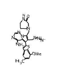 COc1cc(C)cc2cc(-c3c(CN=[N+]=[N-])c(CN4CCNC(=O)C4)n4ncnc(N)c34)sc12